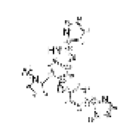 CC(=O)N1CCCC1c1cc2[nH]c(-c3ccccn3)nc2cc1Oc1ccc(-c2nnnn2C)cc1